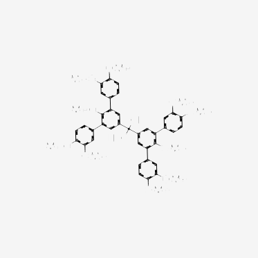 COc1ccc(-c2cc(C(C)(C)c3cc(-c4ccc(OC)c(OC)c4)c(OC)c(-c4ccc(OC)c(OC)c4)c3)cc(-c3ccc(OC)c(OC)c3)c2OC)cc1OC